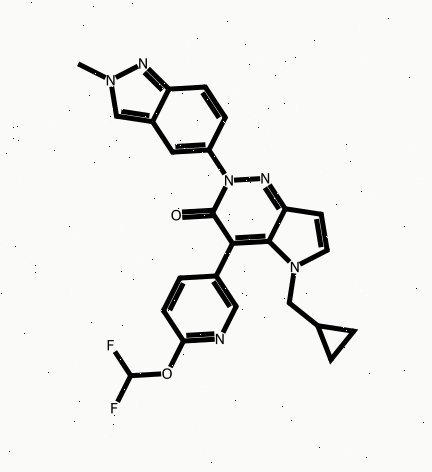 Cn1cc2cc(-n3nc4ccn(CC5CC5)c4c(-c4ccc(OC(F)F)nc4)c3=O)ccc2n1